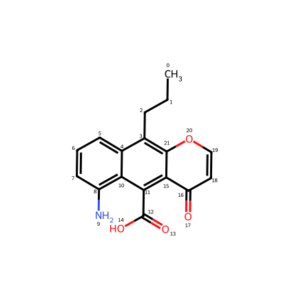 CCCc1c2cccc(N)c2c(C(=O)O)c2c(=O)ccoc12